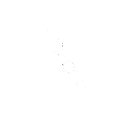 CC(COC(C)(C)C)CC(C)Cc1ccc(OC2CC(OC(C)(C)C)C2)nc1